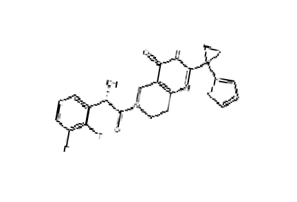 O=C([C@@H](O)c1cccc(F)c1F)N1CCc2nc(C3(c4cccs4)CC3)[nH]c(=O)c2C1